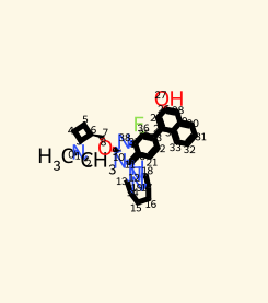 CN(C)[C@H]1CC[C@H]1COc1nc(N2CC3CCC(C2)N3)c2ccc(-c3cc(O)cc4ccccc34)c(F)c2n1